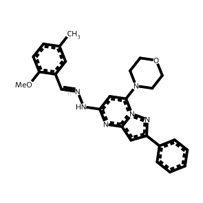 COc1ccc(C)cc1/C=N/Nc1cc(N2CCOCC2)n2nc(-c3ccccc3)cc2n1